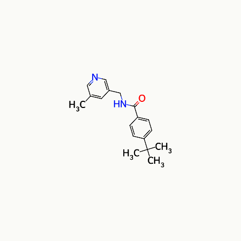 Cc1cncc(CNC(=O)c2ccc(C(C)(C)C)cc2)c1